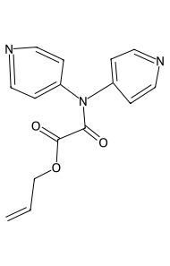 C=CCOC(=O)C(=O)N(c1ccncc1)c1ccncc1